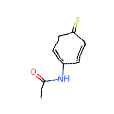 CC(=O)NC1=CCC(=S)C=C1